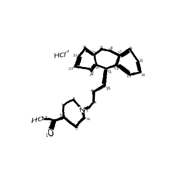 Cl.O=C(O)C1CCN(CCC=C2c3ccccc3CCc3ccccc32)CC1